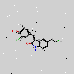 CC(C)(C)c1cc(C=C2C(=O)Nc3ccc(CCCl)cc32)cc(Cl)c1O